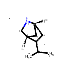 CC(C)C1C[C@@H]2C[C@H]1CN2